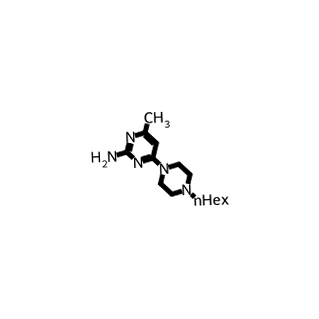 CCCCCCN1CCN(c2cc(C)nc(N)n2)CC1